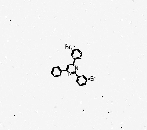 Brc1cccc(-c2cc(-c3ccccc3)nc(-c3cccc(Br)c3)n2)c1